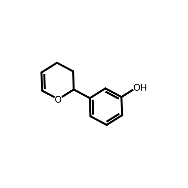 Oc1cccc(C2CCC=CO2)c1